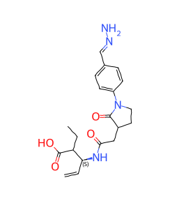 C=C[C@H](NC(=O)CC1CCN(c2ccc(C=NN)cc2)C1=O)C(CC)C(=O)O